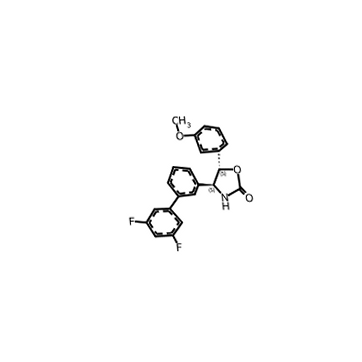 COc1cccc([C@@H]2OC(=O)N[C@H]2c2cccc(-c3cc(F)cc(F)c3)c2)c1